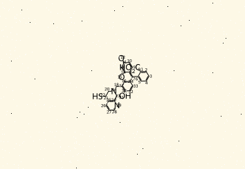 O=C(O)c1ccccc1-c1c2ccc(=O)cc-2oc2c(CN(CCS)Cc3ccccn3)c(O)ccc12